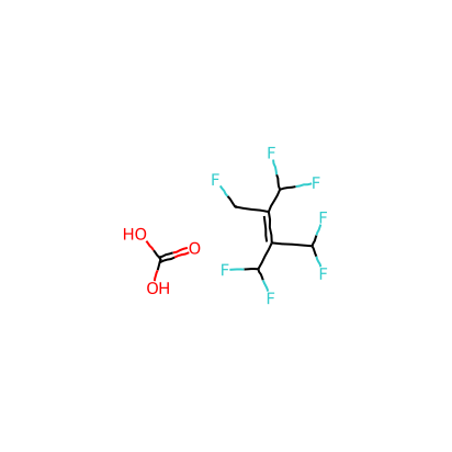 FCC(=C(C(F)F)C(F)F)C(F)F.O=C(O)O